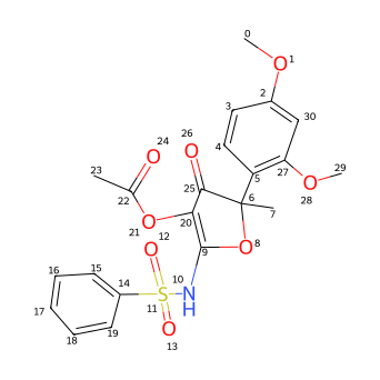 COc1ccc(C2(C)OC(NS(=O)(=O)c3ccccc3)=C(OC(C)=O)C2=O)c(OC)c1